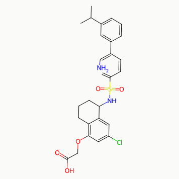 C=C(/C=C\C(=C/N)c1cccc(C(C)C)c1)S(=O)(=O)NC1CCCc2c(OCC(=O)O)cc(Cl)cc21